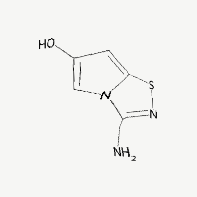 Nc1nsc2cc(O)cn12